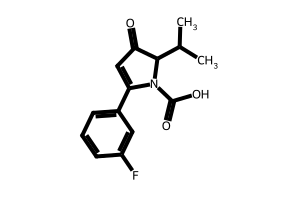 CC(C)C1C(=O)C=C(c2cccc(F)c2)N1C(=O)O